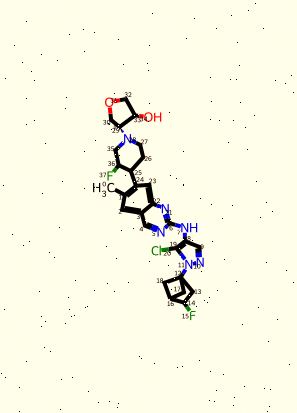 Cc1cc2cnc(Nc3cnn(C45CC(F)C(C4)C5)c3Cl)nc2cc1C1CCN([C@@H]2COCC2O)CC1F